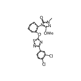 COc1nn(C)c(=O)n1-c1ccccc1Oc1nc(-c2ccc(Cl)c(Cl)c2)ns1